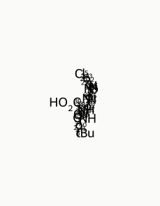 CC(C)(C)c1ccc(C(=O)N[C@@H](Cc2ccc(-c3ncc(-c4nc(-c5ccc(Cl)cc5)no4)cn3)cc2)C(=O)NCCC(=O)O)cc1